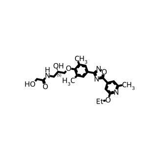 CCOc1cc(-c2nc(-c3cc(C)c(OC[C@@H](O)CNC(=O)CO)c(C)c3)no2)cc(C)n1